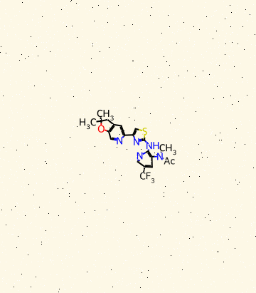 CC(=O)N(C)c1cc(C(F)(F)F)cnc1Nc1nc(-c2cc3c(cn2)OC(C)(C)C3)cs1